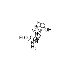 CCOC(=O)c1c(N)nn2ccc(N(Cc3c(O)ccc(F)c3Br)CC3CC3)nc12